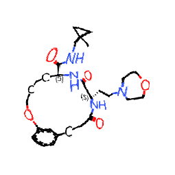 CC1(CNC(=O)[C@@H]2CCCCOc3cccc(c3)CCC(=O)N[C@@H](CCN3CCOCC3)C(=O)N2)CC1